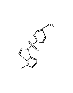 Cc1ccc(S(=O)(=O)n2ccc3c(I)ccnc32)cc1